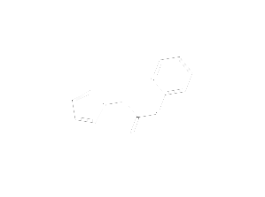 O=C(Nc1ccccn1)On1cccc1